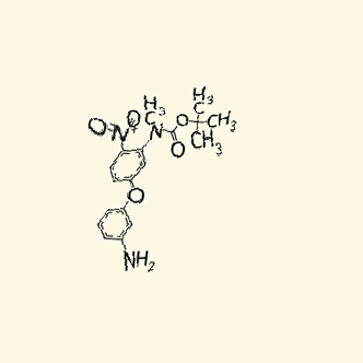 CN(C(=O)OC(C)(C)C)c1cc(Oc2cccc(N)c2)ccc1[N+](=O)[O-]